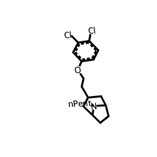 CCCCCN1C2CCC1CC(CCOc1ccc(Cl)c(Cl)c1)C2